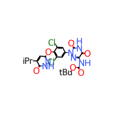 CC(C)c1cc(Oc2c(Cl)cc(-n3nc(NC(=O)OC(C)(C)C)c(=O)[nH]c3=O)cc2Cl)n[nH]c1=O